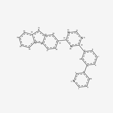 c1cncc(-c2cccc(-c3ncnc(-c4ccc5c(c4)sc4ccccc45)n3)c2)c1